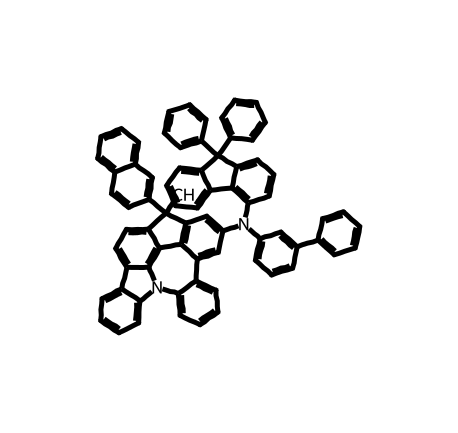 CC1(c2ccc3ccccc3c2)c2cc(N(c3cccc(-c4ccccc4)c3)c3cccc4c3-c3ccccc3C4(c3ccccc3)c3ccccc3)cc3c2-c2c1ccc1c4ccccc4n(c21)-c1ccccc1-3